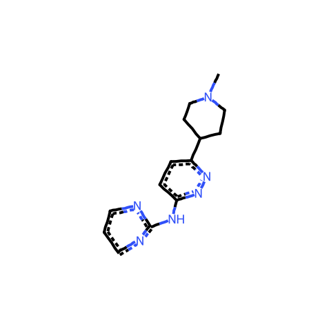 CN1CCC(c2ccc(Nc3ncccn3)nn2)CC1